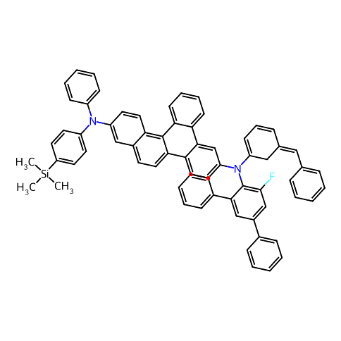 C[Si](C)(C)c1ccc(N(c2ccccc2)c2ccc3c(ccc4c5ccc(N(C6=CC=C/C(=C/c7ccccc7)C6)c6c(F)cc(-c7ccccc7)cc6-c6ccccc6)cc5c5ccccc5c34)c2)cc1